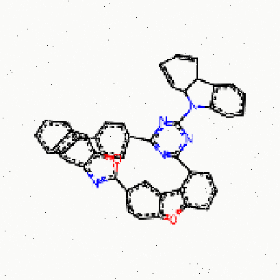 C1=CC2c3ccccc3N(c3nc(-c4ccc(-c5ccccc5)cc4)nc(-c4cccc5oc6ccc(-c7nc8ccccc8o7)cc6c45)n3)C2C=C1